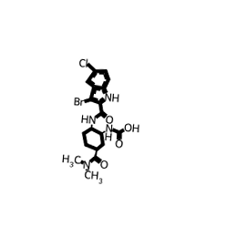 CN(C)C(=O)[C@H]1CC[C@H](NC(=O)c2[nH]c3ccc(Cl)cc3c2Br)[C@H](NC(=O)O)C1